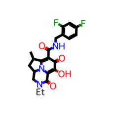 CCN1CC2CC(C)c3c(C(=O)NCc4ccc(F)cc4F)c(=O)c(O)c(n32)C1=O